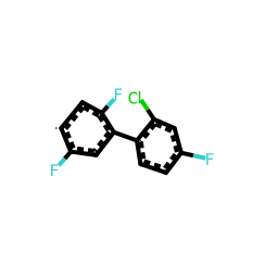 Fc1[c]cc(F)c(-c2ccc(F)cc2Cl)c1